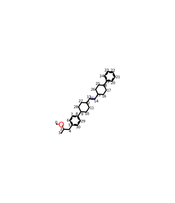 COC(C)Cc1ccc(C2CCC(/C=C/C3CCC(c4ccccc4)CC3)CC2)cc1